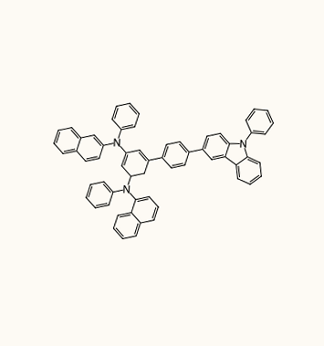 C1=C(c2ccc(-c3ccc4c(c3)c3ccccc3n4-c3ccccc3)cc2)CC(N(c2ccccc2)c2cccc3ccccc23)C=C1N(c1ccccc1)c1ccc2ccccc2c1